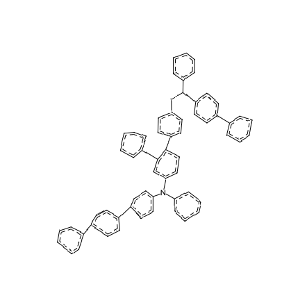 c1ccc(-c2ccc(-c3ccc(N(c4ccccc4)c4ccc(-c5ccc(CC(c6ccccc6)c6ccc(-c7ccccc7)cc6)cc5)c(-c5ccccc5)c4)cc3)cc2)cc1